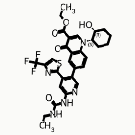 CCNC(=O)Nc1cc(-c2nc(C(F)(F)F)cs2)c(-c2ccc3c(c2)c(=O)c(C(=O)OCC)cn3[C@H]2CCCC[C@H]2O)cn1